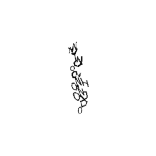 Cn1cc(-c2cc(Oc3ccc(NC(=O)N4CCC5(CCC(=O)C5)C4=O)nc3)ccn2)cn1